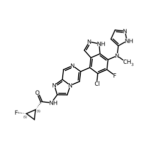 CN(c1ccn[nH]1)c1c(F)c(Cl)c(-c2cn3cc(NC(=O)[C@@H]4C[C@@H]4F)nc3cn2)c2cn[nH]c12